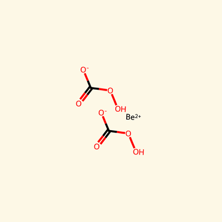 O=C([O-])OO.O=C([O-])OO.[Be+2]